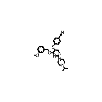 COc1cccc(COc2nc(N3CCN(C(C)C)CC3)ncc2Sc2ccc(C#N)cc2)c1